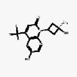 C[C@]1(O)C[C@@H](n2c(=O)cc(C(F)(F)F)c3cc(O)cnc32)C1